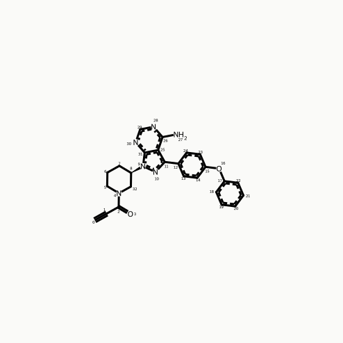 C#CC(=O)N1CCC[C@@H](n2nc(-c3ccc(Oc4ccccc4)cc3)c3c(N)ncnc32)C1